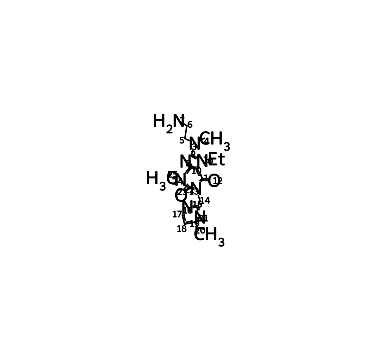 CCn1c(N(C)CCN)nc2c1c(=O)n(Cc1nccc(C)n1)c(=O)n2C